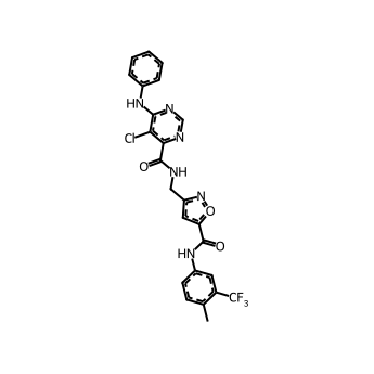 Cc1ccc(NC(=O)c2cc(CNC(=O)c3ncnc(Nc4ccccc4)c3Cl)no2)cc1C(F)(F)F